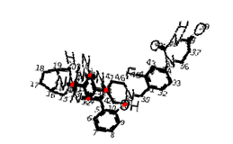 Nc1nnc(-c2ccccc2O)cc1N1CC2CCC(C1)N2c1ncc(C2CCN(Cc3ccc(N4CCC(=O)NC4=O)cc3F)CC2)cn1